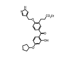 CCOC(=O)CCc1cc(C(=O)c2ccc(OC3CCCC3)cc2O)ccc1OCc1cn[nH]c1